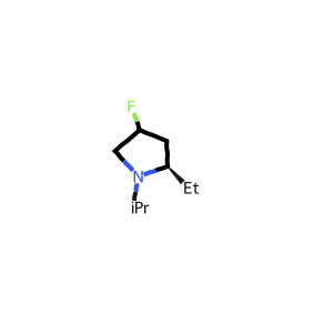 CC[C@@H]1CC(F)CN1C(C)C